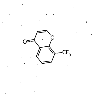 O=c1ccoc2c(C(F)(F)F)cccc12